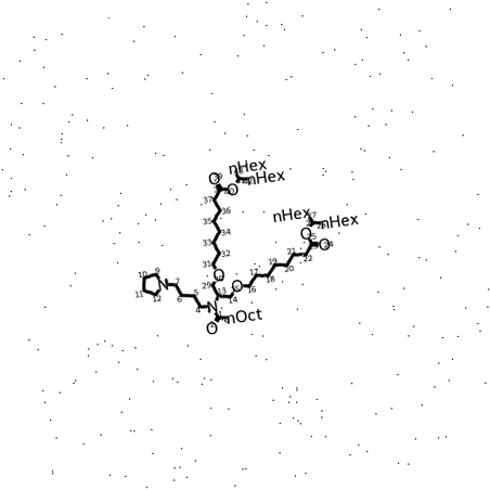 CCCCCCCCC(=O)N(CCCCN1CCCC1)C(COCCCCCCCC(=O)OC(CCCCCC)CCCCCC)COCCCCCCCC(=O)OC(CCCCCC)CCCCCC